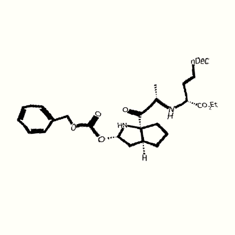 CCCCCCCCCCCC[C@@H](N[C@@H](C)C(=O)[C@]12CCC[C@H]1C[C@H](OC(=O)OCc1ccccc1)N2)C(=O)OCC